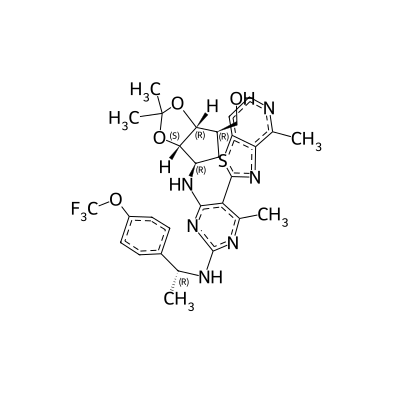 Cc1nc(N[C@H](C)c2ccc(OC(F)(F)F)cc2)nc(N[C@@H]2C[C@H](CO)[C@H]3OC(C)(C)O[C@H]32)c1-c1nc2c(C)nccc2s1